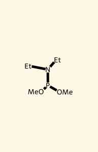 CCN(CC)P(OC)OC